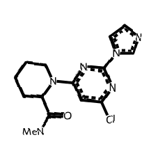 CNC(=O)C1CCCCN1c1cc(Cl)nc(-n2ccnc2)n1